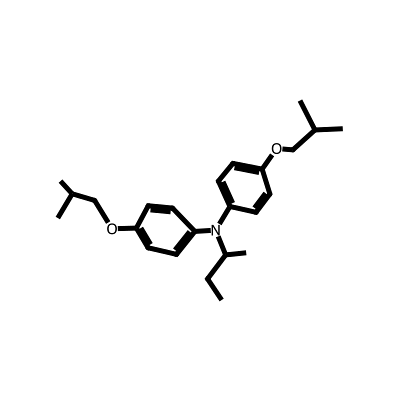 CCC(C)N(c1ccc(OCC(C)C)cc1)c1ccc(OCC(C)C)cc1